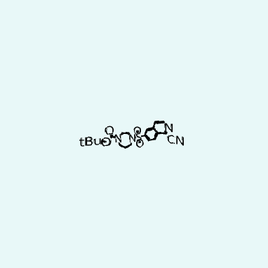 CC(C)(C)OC(=O)N1CCCN(S(=O)(=O)c2ccc3c(C#N)nccc3c2)CC1